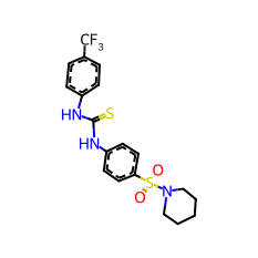 O=S(=O)(c1ccc(NC(=S)Nc2ccc(C(F)(F)F)cc2)cc1)N1CCCCC1